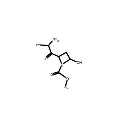 CC(C)C(N)C(=O)C1CC(O)N1C(=O)OC(C)(C)C